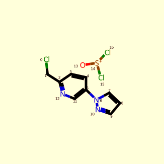 ClCc1ccc(-n2cccn2)cn1.[O-][S+](Cl)Cl